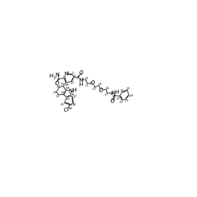 NC(=O)c1ncc(C(=O)NCCOCCOCCNC(=O)c2ccccc2)cc1C1CCCc2c1[nH]c1ccc(Cl)cc21